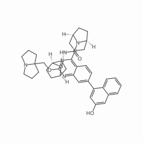 O=C(N[C@@H]1C[C@H]2CC[C@@H]1O2)N1[C@@H]2CC[C@H]1CN(c1nc(OCC34CCCN3CCC4)nc3cc(-c4cc(O)cc5ccccc45)ccc13)C2